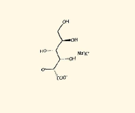 O=C([O-])[C@H]([O-])[C@@H](O)[C@H](O)[C@H](O)CO.[K+].[Na+]